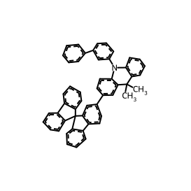 CC1(C)c2ccccc2N(c2cccc(-c3ccccc3)c2)c2ccc(-c3ccc4c(c3)C3(c5ccccc5-c5ccccc53)c3ccccc3-4)cc21